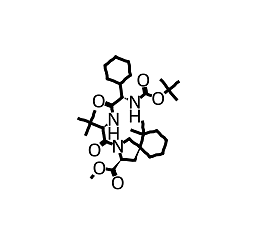 COC(=O)[C@@H]1C[C@@]2(CCCCC2(C)C)CN1C(=O)[C@@H](NC(=O)[C@@H](NC(=O)OC(C)(C)C)C1CCCCC1)C(C)(C)C